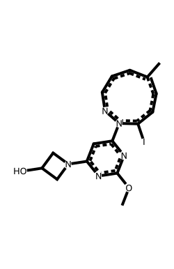 COc1nc(N2CC(O)C2)cc(-n2ncccc(C)ccc2I)n1